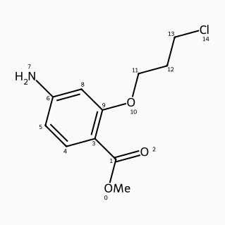 COC(=O)c1ccc(N)cc1OCCCCl